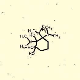 CN(C)C1(N(C)C)CCCC(O)(O)C1(O)N(C)C